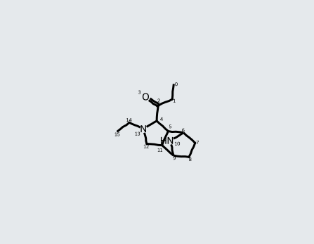 CCC(=O)C1C2C3CCC(N3)C2CN1CC